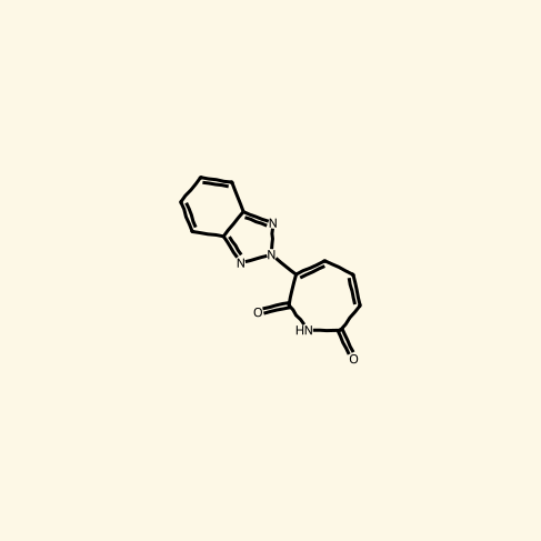 O=c1cccc(-n2nc3ccccc3n2)c(=O)[nH]1